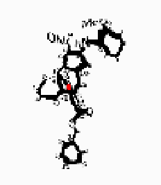 COc1ccccc1Nc1cc2c(cc1OC)[C@]13CCCCC1[C@H](C2)N(C(=O)OCc1ccccc1)CCC3